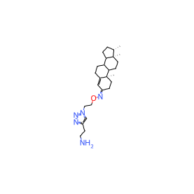 C[C@H]1CCC2C3CCC4=CC(=NOCCn5cc(CCN)nn5)CC[C@]4(C)C3CC[C@@]21C